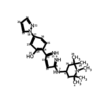 CN1C(C)(C)CC(NC(=N)/C=C\C(=N)c2ccc(-n3cccn3)cc2O)CC1(C)C